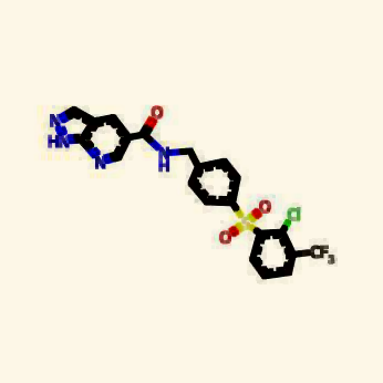 O=C(NCc1ccc(S(=O)(=O)c2cccc(C(F)(F)F)c2Cl)cc1)c1cnc2[nH]ncc2c1